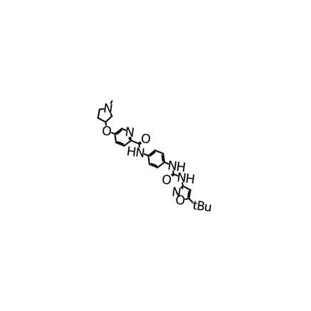 CN1CCC(Oc2ccc(C(=O)Nc3ccc(NC(=O)Nc4cc(C(C)(C)C)on4)cc3)nc2)C1